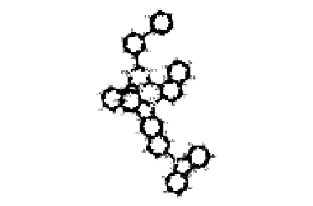 c1ccc(-c2cccc(-c3nc(-c4ccccc4)nc(-c4c(-n5c6ccccc6c6cc7ccc(-n8c9ccccc9c9ccccc98)cc7cc65)ccc5ccccc45)n3)c2)cc1